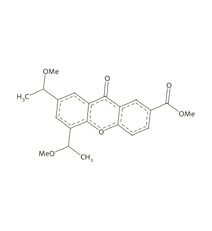 COC(=O)c1ccc2oc3c(C(C)OC)cc(C(C)OC)cc3c(=O)c2c1